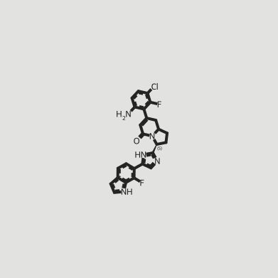 Nc1ccc(Cl)c(F)c1C1=CC(=O)N2C(CC[C@H]2c2ncc(-c3ccc4cc[nH]c4c3F)[nH]2)C1